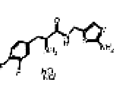 Cl.Cl.Nc1ncc(CNC(=O)C(N)Cc2ccc(F)c(F)c2)s1